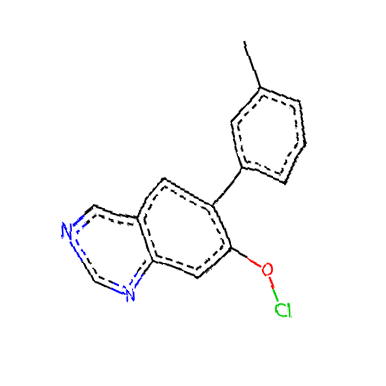 Cc1cccc(-c2cc3cncnc3cc2OCl)c1